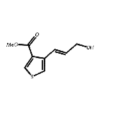 COC(=O)c1cscc1/C=C/CO